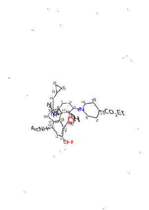 CCOC(=O)C1CCN([C@@H]2CC[C@H]3[C@H]4Cc5c(NC(C)=O)cc(O)c6c5[C@@]3(CCN4CC3CC3)[C@H]2O6)CC1